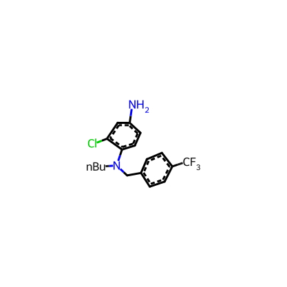 CCCCN(Cc1ccc(C(F)(F)F)cc1)c1ccc(N)cc1Cl